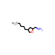 CCCCCC1COC(CN)C1